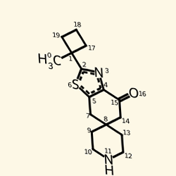 CC1(c2nc3c(s2)CC2(CCNCC2)CC3=O)CCC1